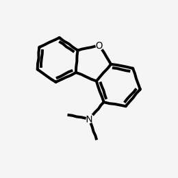 CN(C)c1cccc2oc3ccccc3c12